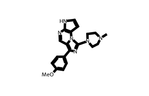 COc1ccc(-c2nc(N3CCN(C)CC3)n3c2cnc2[nH]ccc23)cc1